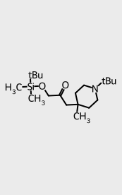 CC1(CC(=O)CO[Si](C)(C)C(C)(C)C)CCN(C(C)(C)C)CC1